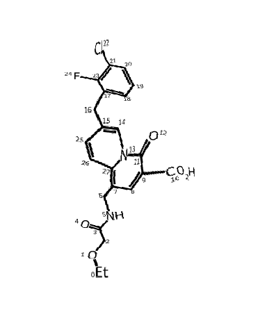 CCOCC(=O)NCc1cc(C(=O)O)c(=O)n2cc(Cc3cccc(Cl)c3F)ccc12